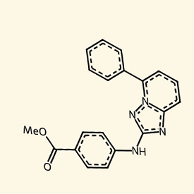 COC(=O)c1ccc(Nc2nc3cccc(-c4ccccc4)n3n2)cc1